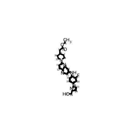 CCOC(=O)CC1CCN(c2ccc3ncc(Nc4ccc(-n5ccc(CO)n5)cc4F)cc3n2)CC1